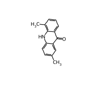 Cc1ccc2[nH]c3c(C)cccc3c(=O)c2c1